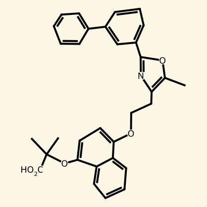 Cc1oc(-c2cccc(-c3ccccc3)c2)nc1CCOc1ccc(OC(C)(C)C(=O)O)c2ccccc12